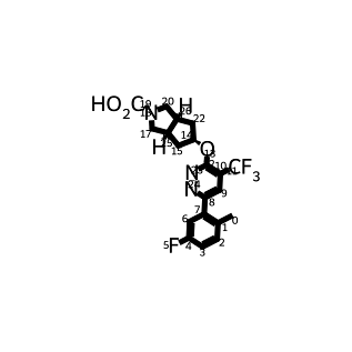 Cc1ccc(F)cc1-c1cc(C(F)(F)F)c(O[C@H]2C[C@@H]3CN(C(=O)O)C[C@@H]3C2)nn1